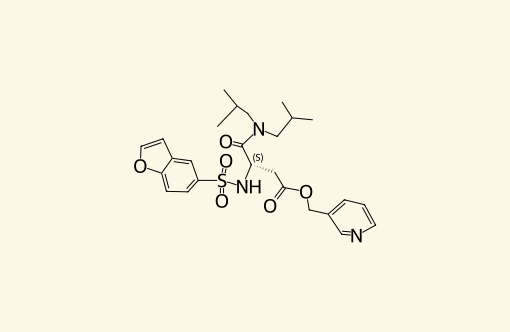 CC(C)CN(CC(C)C)C(=O)[C@H](CC(=O)OCc1cccnc1)NS(=O)(=O)c1ccc2occc2c1